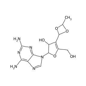 CC1OC(C2=C(CO)OC(n3cnc4c(N)nc(N)nc43)C2O)O1